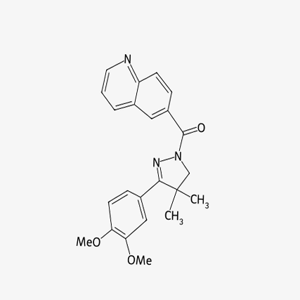 COc1ccc(C2=NN(C(=O)c3ccc4ncccc4c3)CC2(C)C)cc1OC